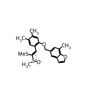 CS/C(=C\c1cc(C)c(C)cc1OCc1cc(C)c2occc2c1)[S+](C)[O-]